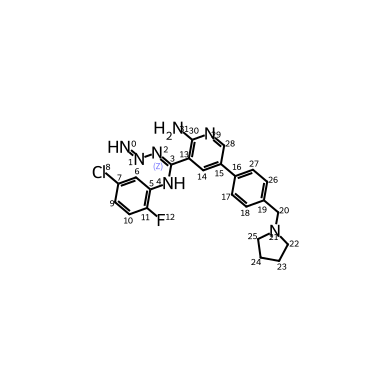 N=N/N=C(\Nc1cc(Cl)ccc1F)c1cc(-c2ccc(CN3CCCC3)cc2)cnc1N